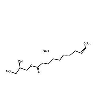 CCCCCCCC/C=C\CCCCCCCC(=O)OCC(O)CO.[NaH]